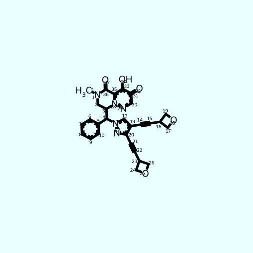 CN1CC(C(c2ccccc2)n2cc(C#CC3COC3)c(C#CC3COC3)n2)n2ncc(=O)c(O)c2C1=O